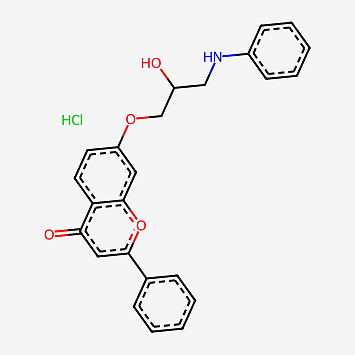 Cl.O=c1cc(-c2ccccc2)oc2cc(OCC(O)CNc3ccccc3)ccc12